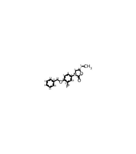 CC[C@H]1CN(c2ccc(OCc3ccccc3)c(F)c2)C(=O)O1